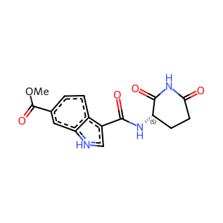 COC(=O)c1ccc2c(C(=O)N[C@H]3CCC(=O)NC3=O)c[nH]c2c1